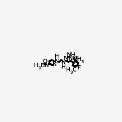 CC(=O)Nc1ccc(NCCNC2=CC(c3cc(C)c(F)cc3C)NC(N)=N2)nc1